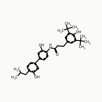 CC(C)Cc1ccc(-c2ccc(NC(=O)CCc3cc(C(C)(C)C)c(O)c(C(C)(C)C)c3)c(O)c2)cc1O